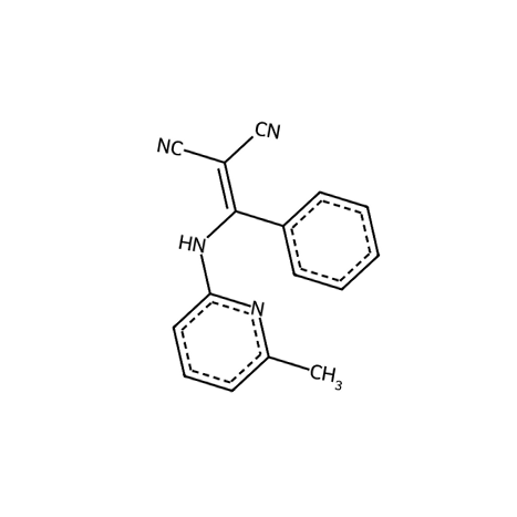 Cc1cccc(NC(=C(C#N)C#N)c2ccccc2)n1